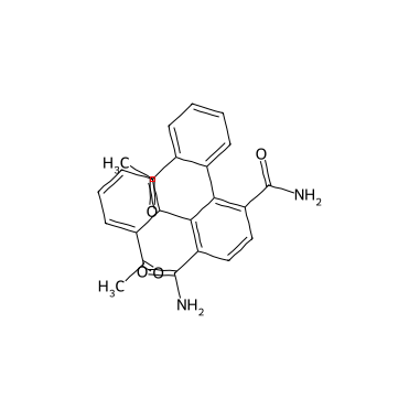 CC(=O)c1ccccc1-c1c(C(N)=O)ccc(C(N)=O)c1-c1ccccc1C(C)=O